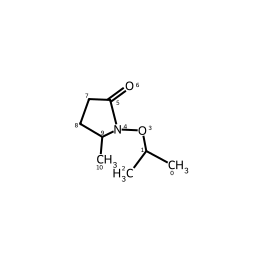 CC(C)ON1C(=O)CCC1C